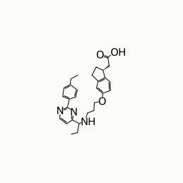 CCc1ccc(-c2nccc(C(CC)NCCCOc3ccc4c(c3)CC[C@H]4CC(=O)O)n2)cc1